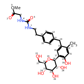 COC(=O)CNC(=O)NCCc1ccc(Cc2cc([C@@H]3O[C@H](CO)[C@@H](O)[C@H](O)[C@H]3O)c(O)cc2C)cc1